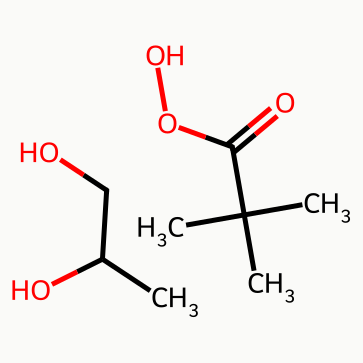 CC(C)(C)C(=O)OO.CC(O)CO